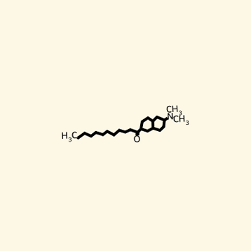 CCCCCCCCCCCC(=O)C1CCC2CC(N(C)C)CCC2C1